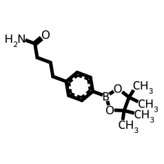 CC1(C)OB(c2ccc(CCCC(N)=O)cc2)OC1(C)C